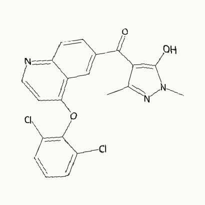 Cc1nn(C)c(O)c1C(=O)c1ccc2nccc(Oc3c(Cl)cccc3Cl)c2c1